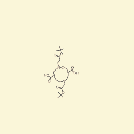 CC(C)(C)OC(=O)CCN1CCN(C(=O)O)CCN(CC(=O)OC(C)(C)C)CCN(C(=O)O)CC1